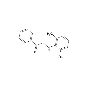 Cc1cccc(C)c1NCC(=O)c1ccccc1